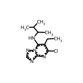 CCc1c(Cl)nc2ncnn2c1NC(C)C(C)C